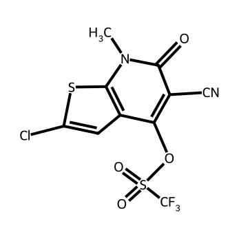 Cn1c(=O)c(C#N)c(OS(=O)(=O)C(F)(F)F)c2cc(Cl)sc21